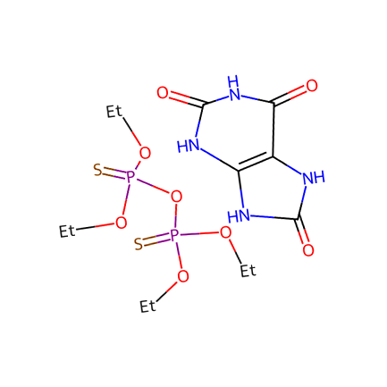 CCOP(=S)(OCC)OP(=S)(OCC)OCC.O=c1[nH]c(=O)c2[nH]c(=O)[nH]c2[nH]1